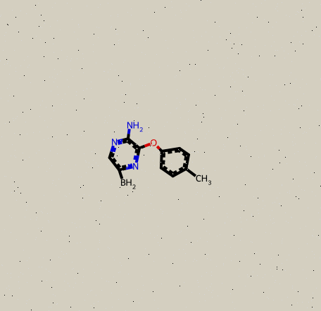 Bc1cnc(N)c(Oc2ccc(C)cc2)n1